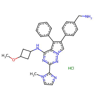 COC1CC(Nc2nc(-c3nccn3C)nn3cc(-c4ccc(CN)cc4)c(-c4ccccc4)c23)C1.Cl